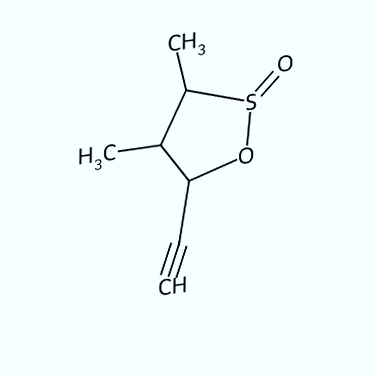 C#CC1OS(=O)C(C)C1C